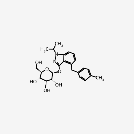 Cc1ccc(Cc2cccc3c2c(O[C@@H]2O[C@H](CO)[C@@H](O)[C@H](O)[C@H]2O)nn3C(C)C)cc1